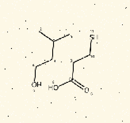 CC(C)CCO.O=C(O)CCS